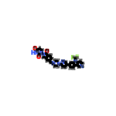 O=C1CCN(N2Cc3cc(CN4CCN(c5ccc(-c6ccc7c8cnccc8n(C(F)F)c7c6)cn5)CC4)ccc3C2=O)C(=O)N1